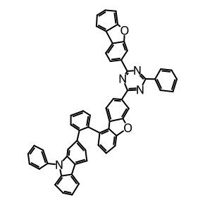 c1ccc(-c2nc(-c3ccc4c(c3)oc3ccccc34)nc(-c3ccc4c(c3)oc3cccc(-c5ccccc5-c5ccc6c7ccccc7n(-c7ccccc7)c6c5)c34)n2)cc1